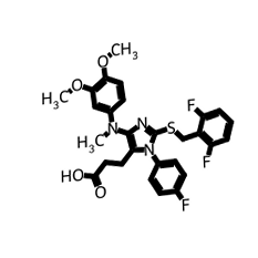 COc1ccc(N(C)c2nc(SCc3c(F)cccc3F)n(-c3ccc(F)cc3)c2CCC(=O)O)cc1OC